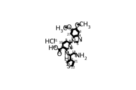 COc1cc2ncn(-c3ccc(C(=O)O)c(NC(CN)c4ccsc4)n3)c2cc1OC.Cl